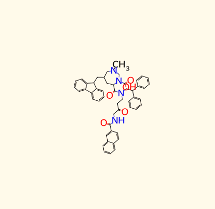 CN1CC(CC2c3ccccc3-c3ccccc32)CC(C(=O)N(CCC(=O)CNC(=O)c2ccc3ccccc3c2)CC(c2ccccc2)c2ccccc2)N(C(=O)O)C1